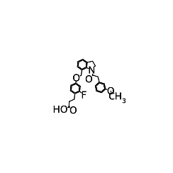 COc1cccc(CC(=O)N2CCc3cccc(COc4ccc(CCC(=O)O)c(F)c4)c32)c1